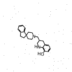 Oc1cccc2c1NCC(CN1CCC3(CCc4ccccc43)CC1)C2